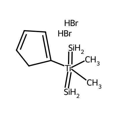 Br.Br.[CH3][Ti]([CH3])(=[SiH2])(=[SiH2])[C]1=CC=CC1